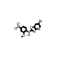 COc1cc([N+](=O)[O-])ccc1Nc1nc2ncc(Br)cc2o1